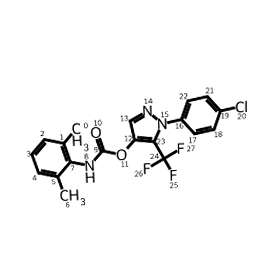 Cc1cccc(C)c1NC(=O)Oc1cnn(-c2ccc(Cl)cc2)c1C(F)(F)F